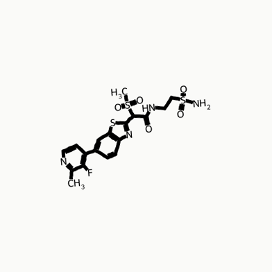 Cc1nccc(-c2ccc3nc(C(C(=O)NCCS(N)(=O)=O)S(C)(=O)=O)sc3c2)c1F